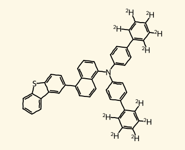 [2H]c1c([2H])c([2H])c(-c2ccc(N(c3ccc(-c4c([2H])c([2H])c([2H])c([2H])c4[2H])cc3)c3cccc4c(-c5ccc6sc7ccccc7c6c5)cccc34)cc2)c([2H])c1[2H]